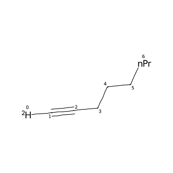 [2H]C#CCCCCCC